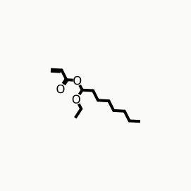 C=CC(=O)OC(CCCCCCC)OCC